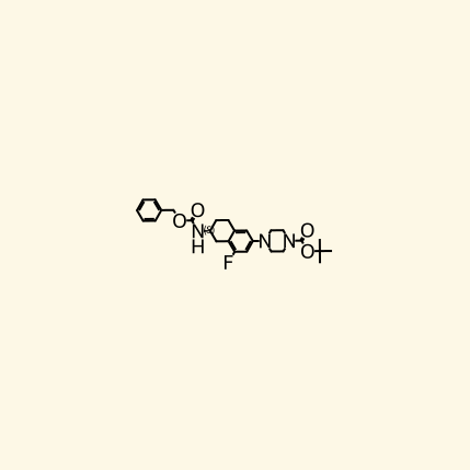 CC(C)(C)OC(=O)N1CCN(c2cc(F)c3c(c2)CC[C@H](NC(=O)OCc2ccccc2)C3)CC1